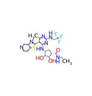 CCNC(=O)[C@H]1C[C@@H](Nc2nc(NCC(F)(F)F)nc(C)c2-c2nc3cnccc3s2)[C@H](O)[C@@H]1O